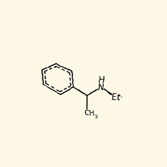 C[CH]NC(C)c1ccccc1